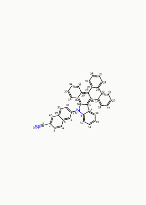 N#Cc1ccc2cc(-n3c4ccccc4c4c5c6ccccc6c6ccccc6c5c5ccccc5c43)ccc2c1